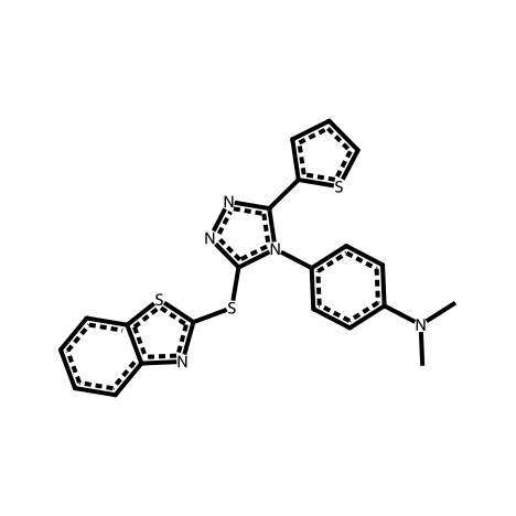 CN(C)c1ccc(-n2c(Sc3nc4ccccc4s3)nnc2-c2cccs2)cc1